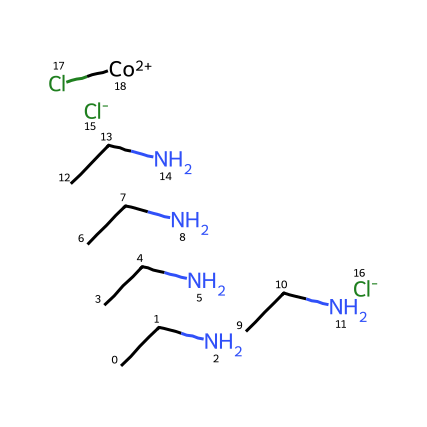 CCN.CCN.CCN.CCN.CCN.[Cl-].[Cl-].[Cl][Co+2]